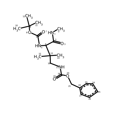 CNC(=O)C(NC(=O)OC(C)(C)C)C(C)(C)CNC(=O)OCc1ccccc1